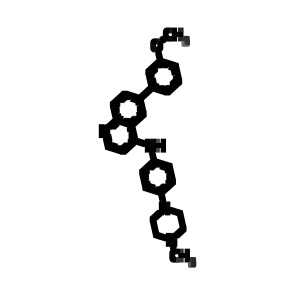 COc1cccc(-c2ccc3nccc(Nc4ccc(N5CCN(C)CC5)cc4)c3c2)c1